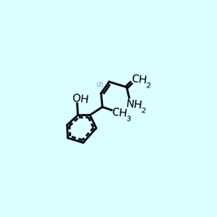 C=C(N)/C=C\C(C)c1ccccc1O